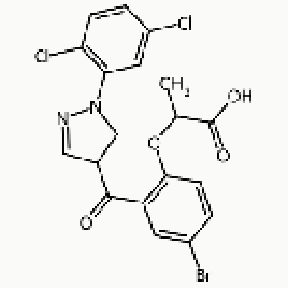 CC(Oc1ccc(Br)cc1C(=O)C1C=NN(c2cc(Cl)ccc2Cl)C1)C(=O)O